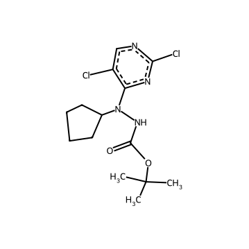 CC(C)(C)OC(=O)NN(c1nc(Cl)ncc1Cl)C1CCCC1